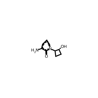 Nc1cccn(C2CC[C@@H]2O)c1=O